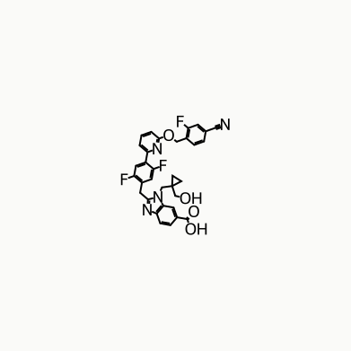 N#Cc1ccc(COc2cccc(-c3cc(F)c(Cc4nc5ccc(C(=O)O)cc5n4CC4(CO)CC4)cc3F)n2)c(F)c1